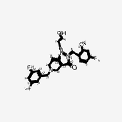 N#Cc1cc(F)ccc1Cn1c(=O)c2c(n1CCO)CCN(Cc1cc(F)cc(F)c1)C2